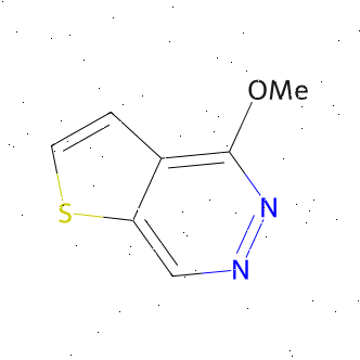 COc1nncc2sccc12